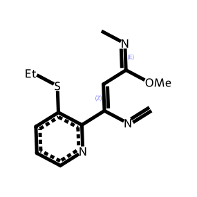 C=N/C(=C\C(=N/C)OC)c1ncccc1SCC